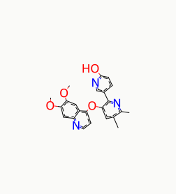 COc1cc2nccc(Oc3cc(C)c(C)nc3-c3ccc(O)nc3)c2cc1OC